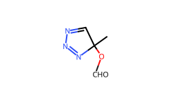 CC1(OC=O)C=NN=N1